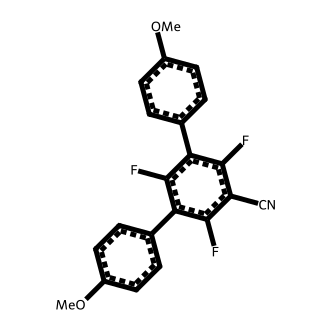 COc1ccc(-c2c(F)c(C#N)c(F)c(-c3ccc(OC)cc3)c2F)cc1